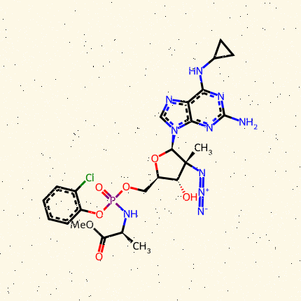 COC(=O)[C@H](C)NP(=O)(OC[C@H]1O[C@@H](n2cnc3c(NC4CC4)nc(N)nc32)[C@](C)(N=[N+]=[N-])[C@@H]1O)Oc1ccccc1Cl